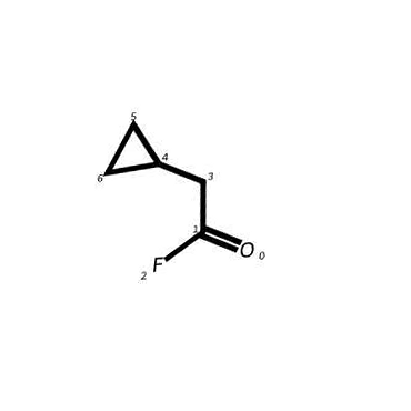 O=C(F)CC1CC1